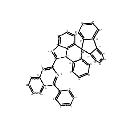 c1ccc(-c2nc(-c3nc4cccc5c4n3-c3ccccc3C53c4ccccc4-c4ccccc43)nc3ccccc23)cc1